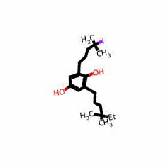 CCC(C)(C)CCCc1cc(O)cc(CCCC(C)(C)I)c1O